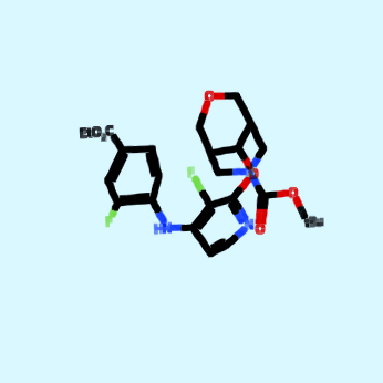 CCOC(=O)c1ccc(Nc2ccnc(OC3C4COCC3CN(C(=O)OC(C)(C)C)C4)c2F)c(F)c1